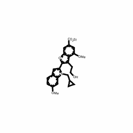 CCOC(=O)c1cc(OC)c2c(CCO)c(-c3cc4ccc(OC)cc4n3CC3CC3)oc2c1